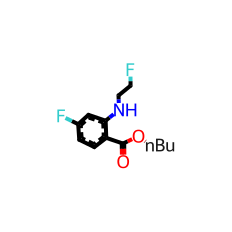 CCCCOC(=O)c1ccc(F)cc1NCCF